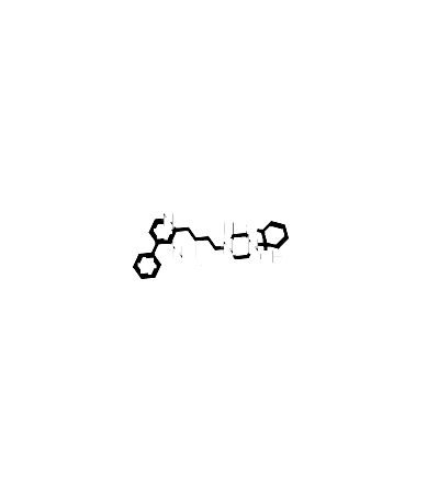 CC1C=CC=CC1(C)N1CCN(CCCCc2nccc(-c3ccccc3)c2N)CC1